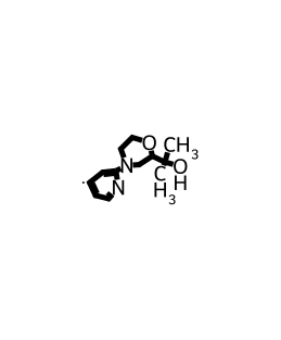 CC(C)(O)C1CN(c2c[c]ccn2)CCO1